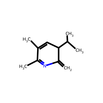 C=C1N=C(C)C(C)=CC1C(C)C